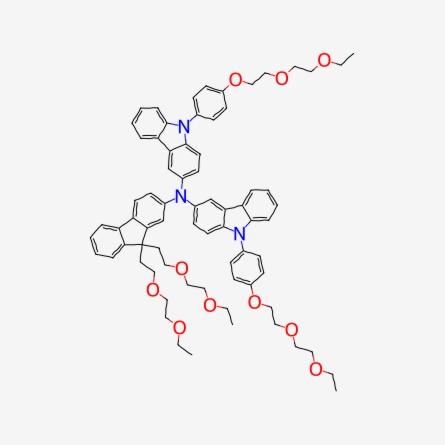 CCOCCOCCOc1ccc(-n2c3ccccc3c3cc(N(c4ccc5c(c4)C(CCOCCOCC)(CCOCCOCC)c4ccccc4-5)c4ccc5c(c4)c4ccccc4n5-c4ccc(OCCOCCOCC)cc4)ccc32)cc1